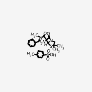 CN(Cc1ccccc1)C(=O)C1(N)C(=O)N2CC(C)(C)S[C@H]21.Cc1ccc(S(=O)(=O)O)cc1